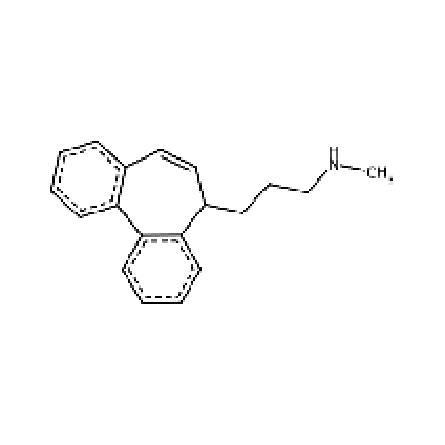 CNCCCC1C=Cc2ccccc2-c2ccccc21